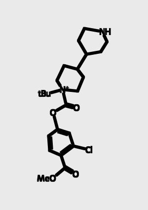 COC(=O)c1ccc(OC(=O)[N+]2(C(C)(C)C)CCC(C3CCNCC3)CC2)cc1Cl